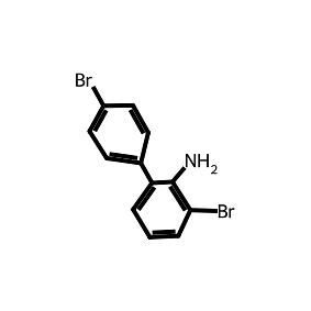 Nc1c(Br)cccc1-c1ccc(Br)cc1